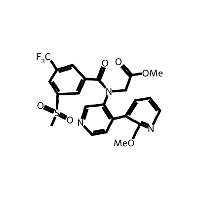 COC(=O)CN(C(=O)c1cc(C(F)(F)F)cc(S(C)(=O)=O)c1)c1cnccc1-c1cccnc1OC